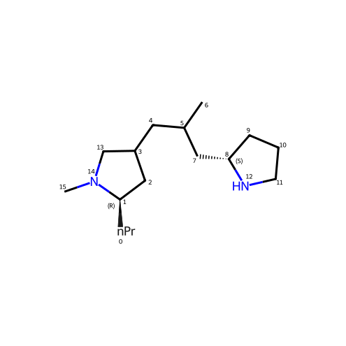 CCC[C@@H]1CC(CC(C)C[C@@H]2CCCN2)CN1C